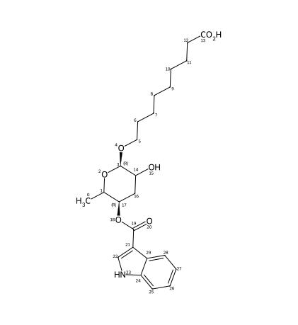 CC1O[C@@H](OCCCCCCCCC(=O)O)C(O)C[C@H]1OC(=O)c1c[nH]c2ccccc12